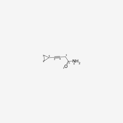 NC(=O)CC#CC1CC1